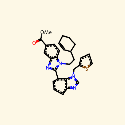 COC(=O)c1ccc2c(c1)nc(-c1cccc3ncn(Cc4cccs4)c13)n2CCC1C=CCCC1